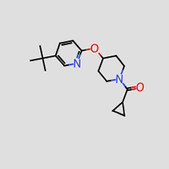 CC(C)(C)c1ccc(OC2CCN(C(=O)C3CC3)CC2)nc1